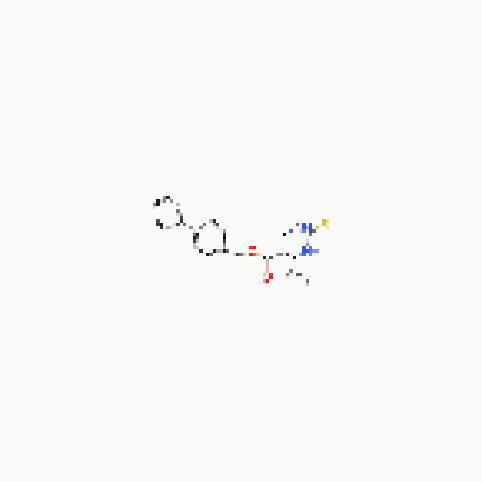 CC1=C(C(=O)OCc2ccc(-c3ccccc3)cc2)CNC(=S)N1